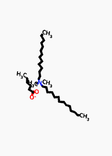 CCCCCC(=O)[O-].CCCCCCCCCCCCCC[N+](C)(C)CCCCCCCCCCCCCC